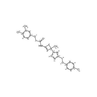 Cc1cc(OCC(=O)NC2=CC(C)(c3nc(COc4ccc(Cl)cc4)no3)C2)ccc1Cl